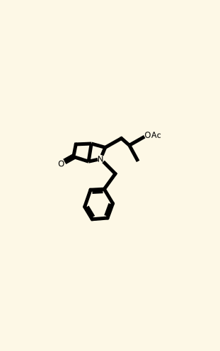 CC(=O)OC(C)CC1C2CC(=O)C2N1Cc1ccccc1